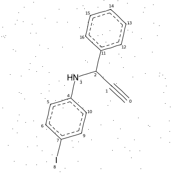 C#CC(Nc1ccc(I)cc1)c1ccccc1